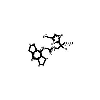 CCOC(=O)C(O)(CNC(=S)Nc1c2c(cc3c1CCC3)CCC2)c1nc(C(C)C)cs1